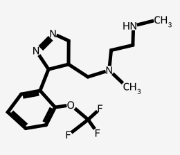 CNCCN(C)CC1CN=NC1c1ccccc1OC(F)(F)F